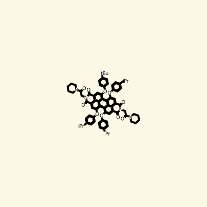 CC(C)c1ccc(Oc2cc3c4c(cc(Oc5ccc(C(C)C)cc5)c5c6c(Oc7ccc(C(C)(C)C)cc7)cc7c8c(cc(Oc9ccc(C(C)C)cc9)c(c2c45)c86)C(=O)N(CC(=O)N2CCCCC2)C7=O)C(=O)N(CC(=O)N2CCCCC2)C3=O)cc1